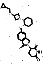 O=C1CCC(N2Cc3cc(O[C@H]4CCCC[C@H]4N4CC(OCC5CC5)C4)ccc3C2=O)C(=O)N1